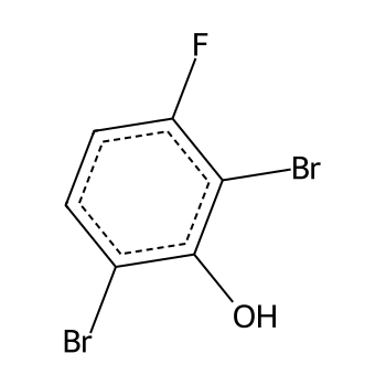 Oc1c(Br)ccc(F)c1Br